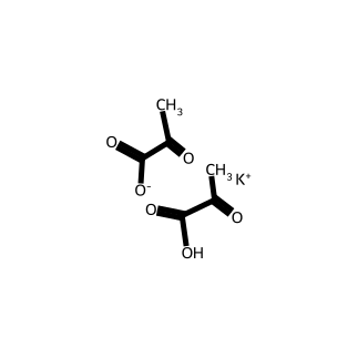 CC(=O)C(=O)O.CC(=O)C(=O)[O-].[K+]